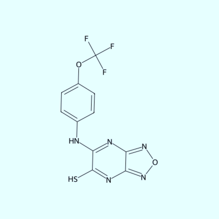 FC(F)(F)Oc1ccc(Nc2nc3nonc3nc2S)cc1